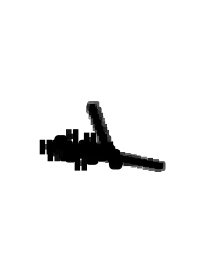 CCCCCCCCCCCCCCCC(=O)OC[C@H](CSC[C@H](N)C(=O)NCC(=O)NCC(=O)N[C@@H](CCC(=O)O)C(=O)O)OC(=O)CCCCCCCCCCCCCCC